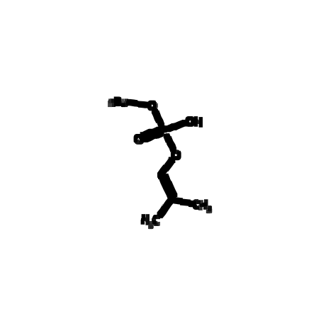 CCCCOP(=O)(O)OC=C(C)C